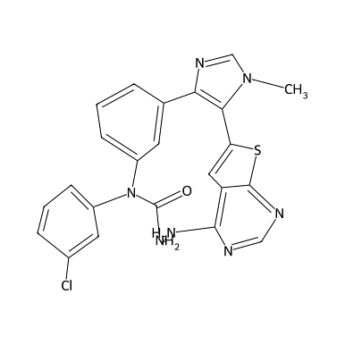 Cn1cnc(-c2cccc(N(C(N)=O)c3cccc(Cl)c3)c2)c1-c1cc2c(N)ncnc2s1